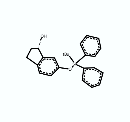 CC(C)(C)[Si](Oc1ccc2c(c1)[C@@H](O)CC2)(c1ccccc1)c1ccccc1